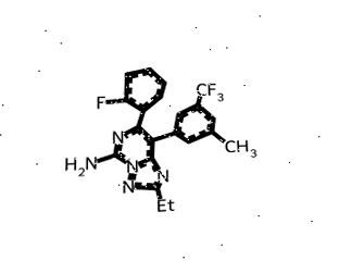 CCc1nc2c(-c3cc(C)cc(C(F)(F)F)c3)c(-c3ccccc3F)nc(N)n2n1